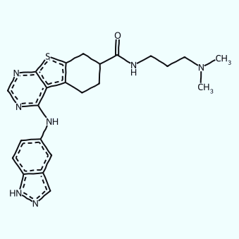 CN(C)CCCNC(=O)C1CCc2c(sc3ncnc(Nc4ccc5[nH]ncc5c4)c23)C1